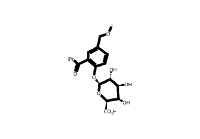 CC(C)C(=O)c1cc(COI)ccc1O[C@@H]1O[C@H](C(=O)O)[C@H](O)[C@H](O)[C@H]1O